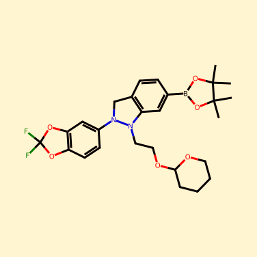 CC1(C)OB(c2ccc3c(c2)N(CCOC2CCCCO2)N(c2ccc4c(c2)OC(F)(F)O4)C3)OC1(C)C